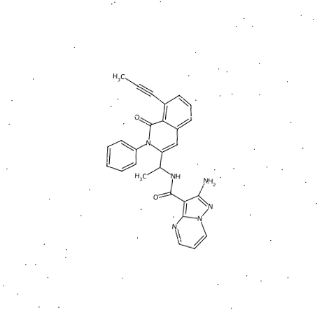 CC#Cc1cccc2cc(C(C)NC(=O)c3c(N)nn4cccnc34)n(-c3ccccc3)c(=O)c12